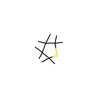 CC1(C)SC(C)(C)C(C)(C)C1(C)C